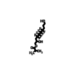 C=C(C)C(=O)OCC(O)CC(F)(F)C(F)(F)C(F)(F)C(F)(F)CCCO